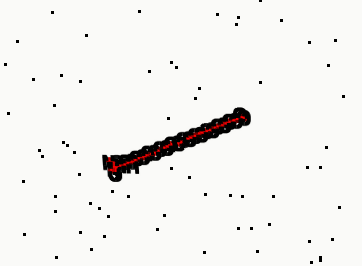 CN1C(=O)C[C@H](C(=O)NCCOCCOCCOCCOCCOCCOCCOCCOCCOCCOCCOCCOCCOCCOCCOCCOCCOCCOCCOCCOCCC(=O)OC(C)(C)C)[C@H]1c1cccnc1